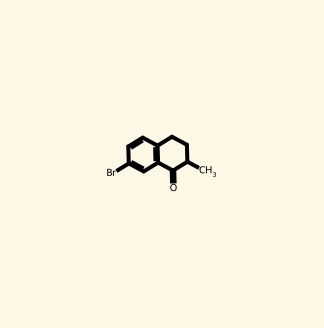 CC1CCc2ccc(Br)cc2C1=O